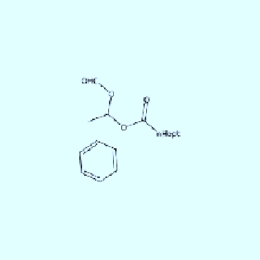 CCCCCCCC(=O)OC(C)OC=O.c1ccccc1